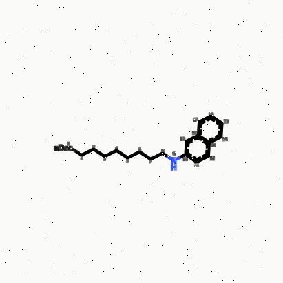 CCCCCCCCCCCCCCCCCCNc1ccc2ccccc2c1